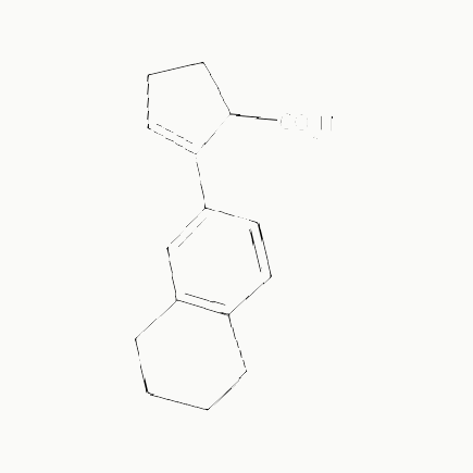 O=C(O)C1CCC=C1c1ccc2c(c1)CCCC2